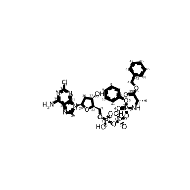 C[C@H](NP(=O)(Oc1ccccc1)OP(=O)(O)OP(=O)(O)OC[C@H]1O[C@@H](n2cnc3c(N)nc(Cl)nc32)C[C@@H]1O)C(=O)OCc1ccccc1